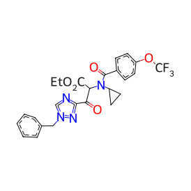 CCOC(=O)C(C(=O)c1ncn(Cc2ccccc2)n1)N(C(=O)c1ccc(OC(F)(F)F)cc1)C1CC1